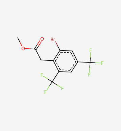 COC(=O)Cc1c(Br)cc(C(F)(F)F)cc1C(F)(F)F